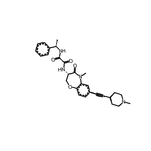 C[C@@H](NC(=O)C(=O)N[C@H]1COc2ccc(C#CC3CCN(C)CC3)cc2N(C)C1=O)c1ccccc1